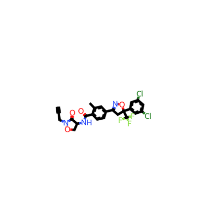 C#CCN1OCC(NC(=O)c2ccc(C3=NOC(c4cc(Cl)cc(Cl)c4)(C(F)(F)F)C3)cc2C)C1=O